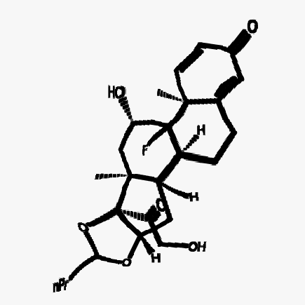 CCCC1O[C@H]2C[C@H]3[C@@H]4CCC5=CC(=O)C=C[C@]5(C)C4(F)[C@@H](O)C[C@]3(C)[C@]2(C(=O)CO)O1